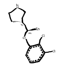 CC[C@@H](Oc1cccc(Cl)c1Cl)[C@@H]1CCNC1